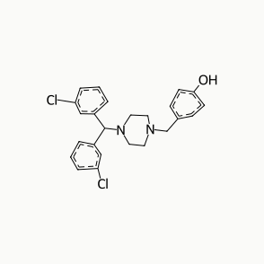 Oc1ccc(CN2CCN(C(c3cccc(Cl)c3)c3cccc(Cl)c3)CC2)cc1